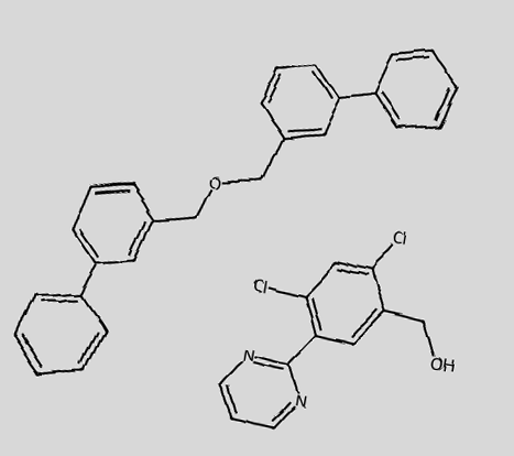 OCc1cc(-c2ncccn2)c(Cl)cc1Cl.c1ccc(-c2cccc(COCc3cccc(-c4ccccc4)c3)c2)cc1